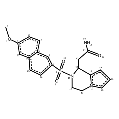 COc1ccc2cc(S(=O)(=O)N3CCn4cccc4C3CC(N)=O)ccc2c1